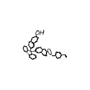 C=Cc1ccc(COc2ccc3cc(C4(c5ccc6cc(O)ccc6c5)c5ccccc5-c5ccccc54)ccc3c2)cc1